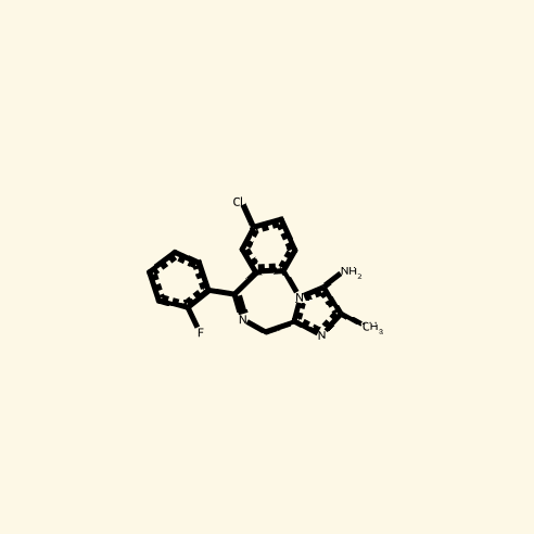 Cc1nc2n(c1N)-c1ccc(Cl)cc1C(c1ccccc1F)=NC2